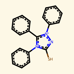 Sc1n[n+](-c2ccccc2)c(-c2ccccc2)n1-c1ccccc1